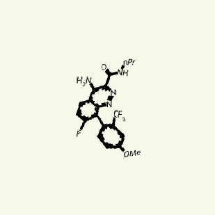 CCCNC(=O)c1nnc2c(-c3ccc(OC)cc3C(F)(F)F)c(F)ccc2c1N